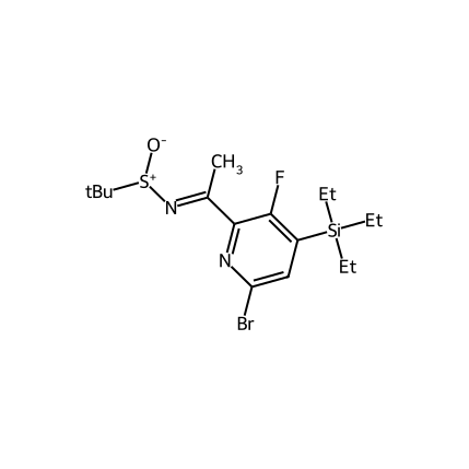 CC[Si](CC)(CC)c1cc(Br)nc(C(C)=N[S+]([O-])C(C)(C)C)c1F